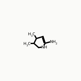 CC1C=C(N)NCC1C